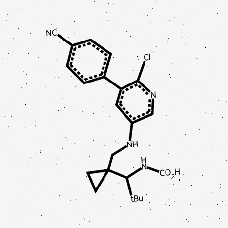 CC(C)(C)C(NC(=O)O)C1(CNc2cnc(Cl)c(-c3ccc(C#N)cc3)c2)CC1